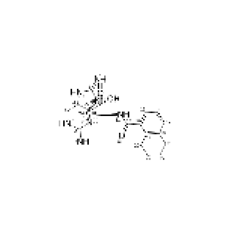 N=C1NC2CNC(=N)N3C[C@H](NC(=O)c4cccc5c4CCCC5)C(O)(O)C23N1